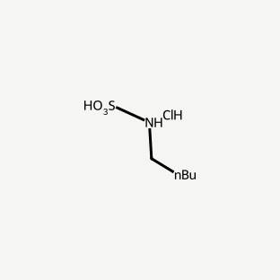 CCCCCNS(=O)(=O)O.Cl